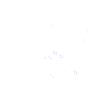 OC(c1ccccc1Cl)c1cccnc1-c1nnn(Cc2cc(C(F)(F)F)cc(C(F)(F)F)c2)c1-c1cccnc1